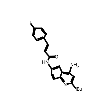 CCC(C)c1cc(N)c2cc(NC(=O)C=Cc3ccc(I)cc3)ccc2n1